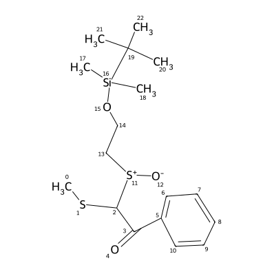 CSC(C(=O)c1ccccc1)[S+]([O-])CCO[Si](C)(C)C(C)(C)C